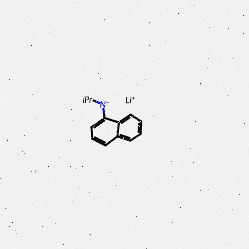 CC(C)[N-]c1cccc2ccccc12.[Li+]